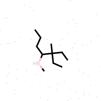 CBC(CCC)C(C)(CC)CC